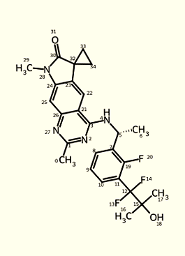 Cc1nc(N[C@H](C)c2cccc(C(F)(F)C(C)(C)O)c2F)c2cc3c(cc2n1)N(C)C(=O)C31CC1